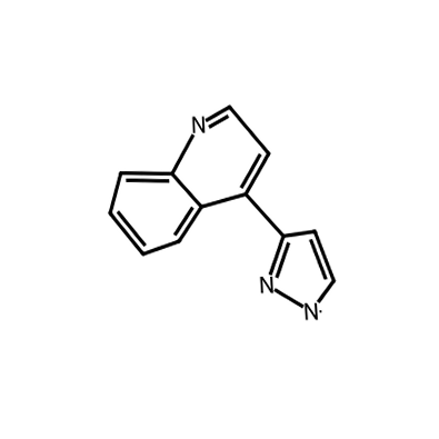 C1=CC(c2ccnc3ccccc23)=N[N]1